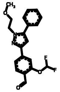 COCCn1nc(-c2ccc(C=O)c(OC(F)F)c2)cc1-c1ccccc1